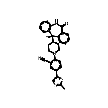 Cc1nc(-c2ccc(N3CCC(C4(F)c5ccccc5NC(=O)c5ccccc54)CC3)c(C#N)c2)co1